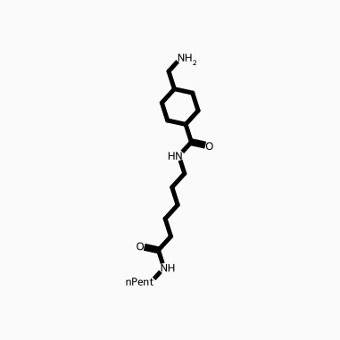 CCCCCNC(=O)CCCCCNC(=O)C1CCC(CN)CC1